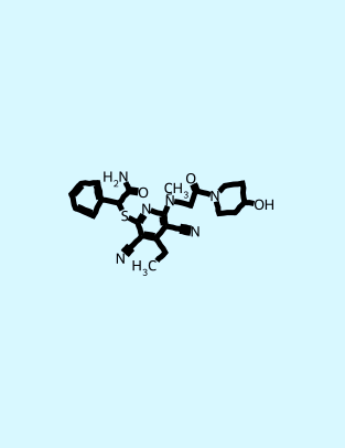 CCc1c(C#N)c(SC(C(N)=O)c2ccccc2)nc(N(C)CC(=O)N2CCC(O)CC2)c1C#N